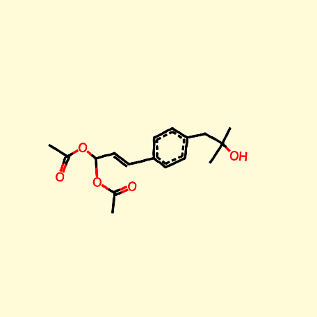 CC(=O)OC(C=Cc1ccc(CC(C)(C)O)cc1)OC(C)=O